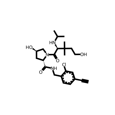 C#Cc1ccc(CNC(=O)[C@@H]2C[C@@H](O)CN2C(=O)[C@@H](NC(C)C)C(C)(C)CCO)c(Cl)c1